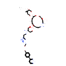 CC[C@H]1OC(=O)[C@H](C)[C@@H](O[C@H]2C[C@@](C)(OC)[C@@H](O)[C@H](C)O2)[C@H](C)[C@@H](O[C@H]2C[C@@H](N(C)CCc3cn(CCOCc4ccc(-c5cccnc5)cc4)nn3)C[C@@H](C)O2)[C@](C)(O)C[C@@H](C)CN(C)[C@H](C)[C@@H](O)[C@]1(C)O